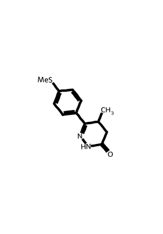 CSc1ccc(C2=NNC(=O)CC2C)cc1